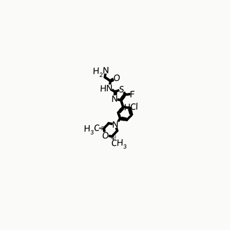 C[C@@H]1CN(c2cccc(-c3nc(NC(=O)CN)sc3F)c2)C[C@H](C)O1.Cl